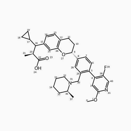 COc1cc(-c2ccc([C@H]3CCc4ccc(C(C5CC5)[C@H](C)C(=O)O)cc4O3)cc2CN2CCCC[C@@H]2C)c(F)cn1